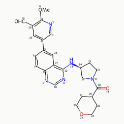 COc1ncc(-c2ccc3ncnc(N[C@H]4CCN(C(=O)C5CCOCC5)C4)c3c2)cc1C=O